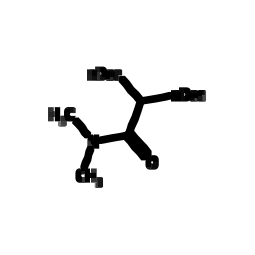 CCCCCCCCCCC(CCCCCCCCCC)C(=O)N(C)C